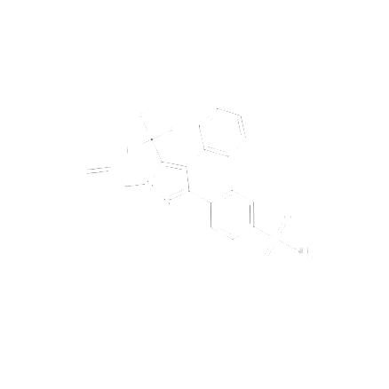 C=CCn1nc(-c2ccc(S(N)(=O)=O)cc2)c(-c2ccccc2)c1C(F)(F)F